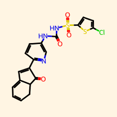 O=C(Nc1ccc(C2=CC3=CC=CCC3C2=O)nc1)NS(=O)(=O)c1ccc(Cl)s1